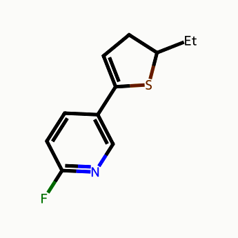 CCC1CC=C(c2ccc(F)nc2)S1